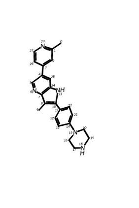 Cc1cc(-c2cnc3c(C)c(-c4ccc(N5CCNCC5)cc4)[nH]c3c2)ccn1